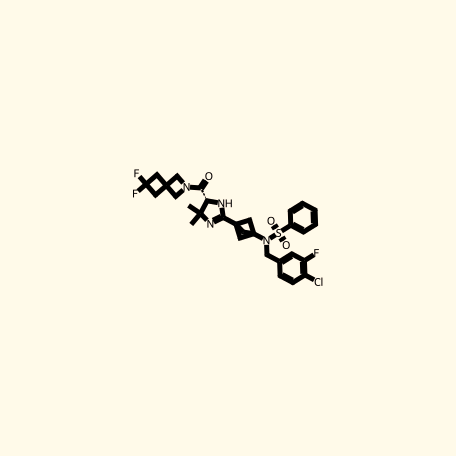 CC1(C)N=C(C23CC(N(Cc4ccc(Cl)c(F)c4)S(=O)(=O)c4ccccc4)(C2)C3)N[C@H]1C(=O)N1CC2(C1)CC(F)(F)C2